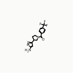 Nc1cc(C2CCN(C(=O)c3ccc(C(F)(F)F)cc3)C2)no1